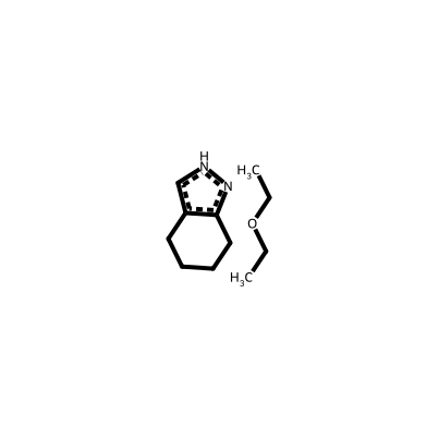 CCOCC.c1[nH]nc2c1CCCC2